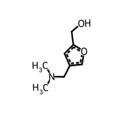 CN(C)Cc1coc(CO)c1